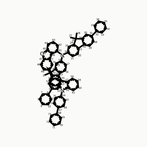 CC1(C)c2cc(-c3ccccc3)ccc2-c2ccc(N(c3ccc4c(c3)C(C)(C)c3cc(-c5ccccc5)ccc3-4)c3cccc4oc5ccc(-c6ccc7c(c6)c6ccccc6n7-c6ccc(-c7ccccc7)cc6)cc5c34)cc21